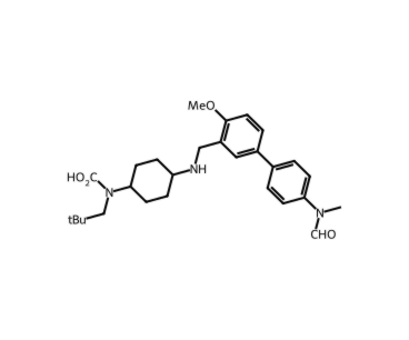 COc1ccc(-c2ccc(N(C)C=O)cc2)cc1CNC1CCC(N(CC(C)(C)C)C(=O)O)CC1